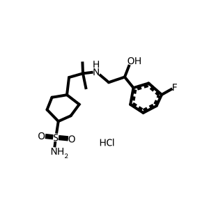 CC(C)(CC1CCC(S(N)(=O)=O)CC1)NCC(O)c1cccc(F)c1.Cl